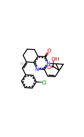 O=C(O)C12C=Cc3nc4c(c(=O)n3C1C2)CCC/C4=C/c1cccc(Cl)c1